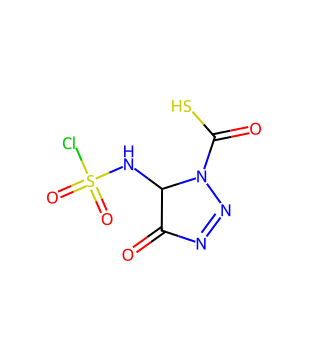 O=C1N=NN(C(=O)S)C1NS(=O)(=O)Cl